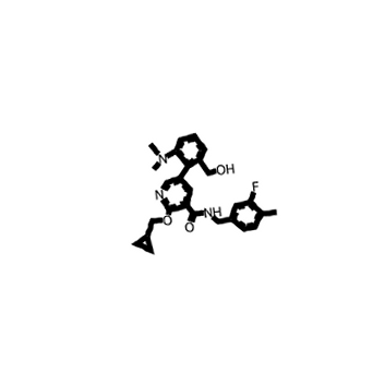 Cc1ccc(CNC(=O)c2cc(-c3c(CO)cccc3N(C)C)cnc2OCC2CC2)cc1F